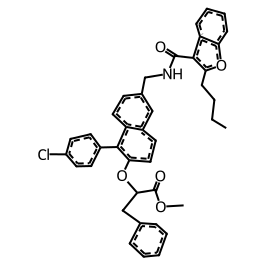 CCCCc1oc2ccccc2c1C(=O)NCc1ccc2c(-c3ccc(Cl)cc3)c(OC(Cc3ccccc3)C(=O)OC)ccc2c1